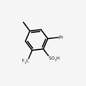 Cc1cc(C(C)C)c(S(=O)(=O)O)c(C(F)(F)F)c1